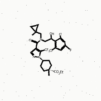 CCOC(=O)[C@]1(C)CC[C@@H](n2ncc(C(=O)N(CC(O)c3c(Cl)cc(F)cc3Cl)CC3(C)CC3)c2C(F)(F)F)CC1